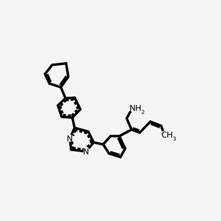 C/C=C\C=C(/CN)C1=CC=CC(c2cc(-c3ccc(C4=CCCC=C4)cc3)ncn2)C1